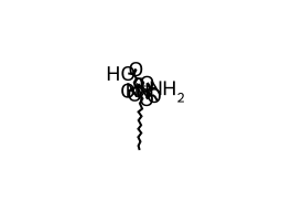 CCCCCCCCCCCCCCN(c1ccc(C(=O)O)cc1[N+](=O)[O-])C(C(N)=O)C(=O)OC